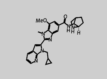 COc1cc(C(=O)NC2C3CC[C@H]2NC3)cc2nc(-c3cc4cccnc4n3CC3CC3)n(C)c12